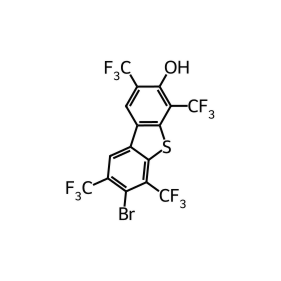 Oc1c(C(F)(F)F)cc2c(sc3c(C(F)(F)F)c(Br)c(C(F)(F)F)cc32)c1C(F)(F)F